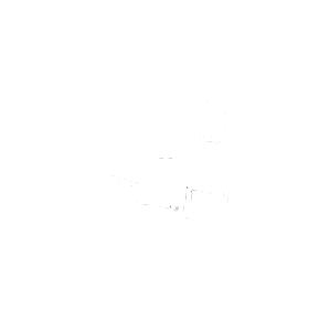 CNC(Cc1ccccc1N)c1ccsc1